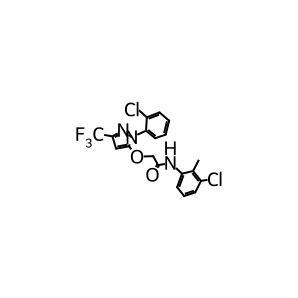 Cc1c(Cl)cccc1NC(=O)COc1cc(C(F)(F)F)nn1-c1ccccc1Cl